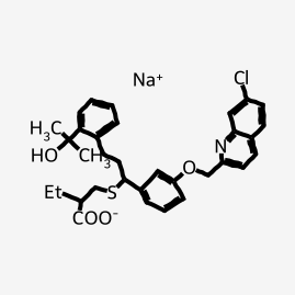 CCC(CSC(CCc1ccccc1C(C)(C)O)c1cccc(OCc2ccc3ccc(Cl)cc3n2)c1)C(=O)[O-].[Na+]